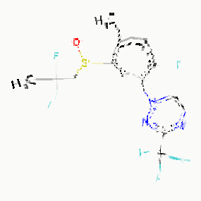 Cc1cc(F)c(-n2cnc(C(F)(F)F)n2)cc1[S+]([O-])CC(C)(F)F